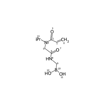 C=CC(=O)N(CC(=O)NCB(O)O)C(C)C